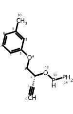 C#C[C@H](COc1cccc(C)c1)OPP